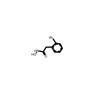 CC(C)c1ccccc1CC(=O)NO